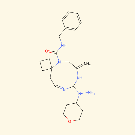 C=C1CN(C(=O)NCc2ccccc2)C2(C/C=N\C(N(N)C3CCOCC3)N1)CCC2